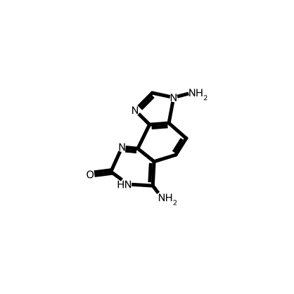 Nc1[nH]c(=O)nc2c1ccc1c2ncn1N